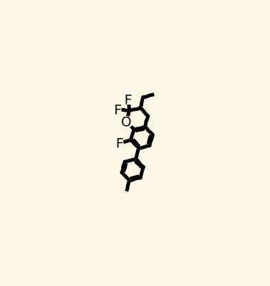 CCC1Cc2ccc(-c3ccc(C)cc3)c(F)c2OC1(F)F